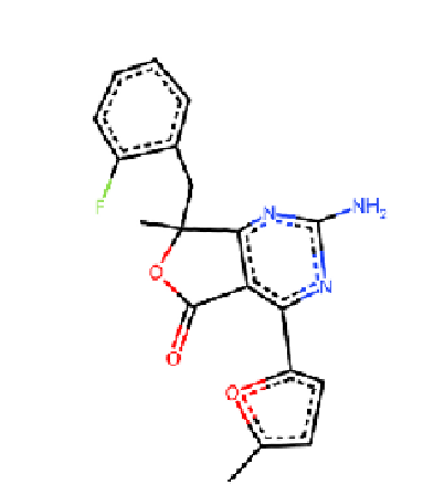 Cc1ccc(-c2nc(N)nc3c2C(=O)OC3(C)Cc2ccccc2F)o1